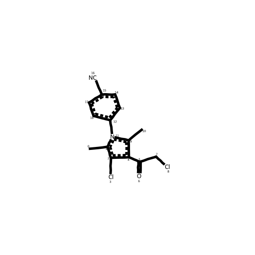 Cc1c(Cl)c(C(=O)CCl)c(C)n1-c1ccc(C#N)cc1